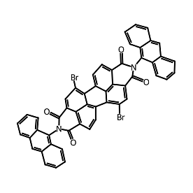 O=C1c2ccc3c4c(Br)cc5c6c(ccc(c7c(Br)cc(c2c37)C(=O)N1c1c2ccccc2cc2ccccc12)c64)C(=O)N(c1c2ccccc2cc2ccccc12)C5=O